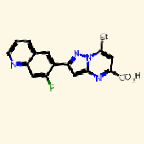 CCc1cc(C(=O)O)nc2cc(-c3cc4cccnc4cc3F)nn12